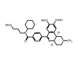 CCOc1cc2c(cc1OC)C(c1ccc(C(=O)N(CCCOC)C3CCCCC3)cc1)=N[C@@H]1CCN(C)C[C@H]21